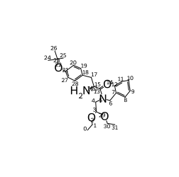 CCOC(CN(Cc1ccccc1)C(=O)[C@@H](N)Cc1ccc(OC(C)(C)C)cc1)OCC